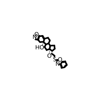 C[C@]12Cc3cnoc3C=C1CCC1C2[C@@H](O)C[C@@]2(C)C1CC[C@@H]2C(=O)CSc1nc2ccccc2o1